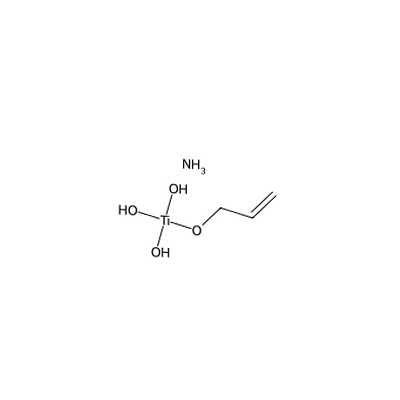 C=CC[O][Ti]([OH])([OH])[OH].N